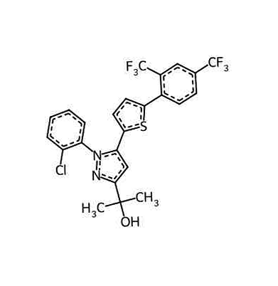 CC(C)(O)c1cc(-c2ccc(-c3ccc(C(F)(F)F)cc3C(F)(F)F)s2)n(-c2ccccc2Cl)n1